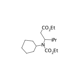 CCOC(=O)CC(C(C)C)N(C(=O)OCC)C1CCCCC1